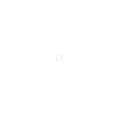 CCCCC1CCC(c2ccc(OCCCC3CCC(CC)CC3)cc2)CC1